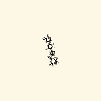 Cc1cc(-c2ccn(C)c(=O)c2)ccc1-c1nnc(N(C)C2CC(C)(C)NC(C)(C)C2)s1